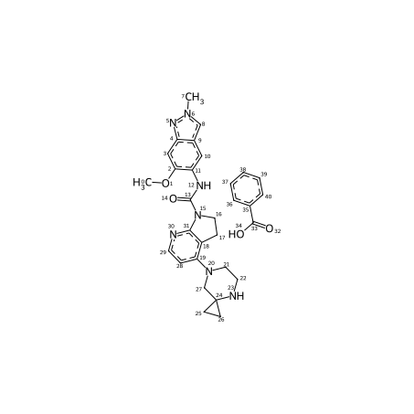 COc1cc2nn(C)cc2cc1NC(=O)N1CCc2c(N3CCNC4(CC4)C3)ccnc21.O=C(O)c1ccccc1